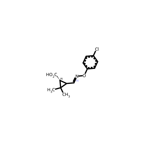 CC1(C)C(/C=N/Oc2ccc(Cl)cc2)[C@H]1C(=O)O